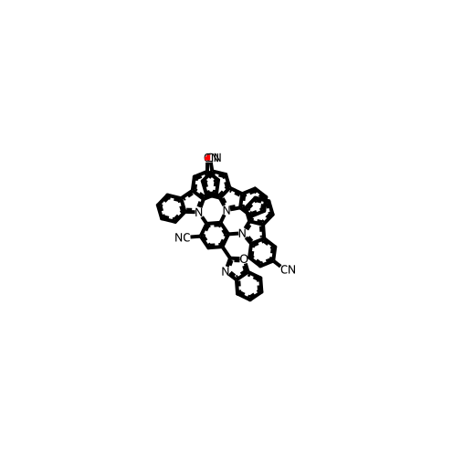 N#Cc1ccc2c(c1)c1ccccc1n2-c1c(C#N)cc(-c2nc3ccccc3o2)c(-n2c3ccccc3c3cc(C#N)ccc32)c1-n1c2ccccc2c2cc(C#N)ccc21